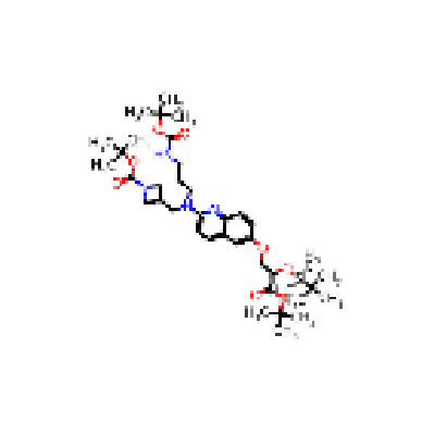 CC(C)(C)OC(=O)NCCCN(CC1CN(C(=O)OC(C)(C)C)C1)c1ccc2cc(OCC(O[Si](C)(C)C(C)(C)C)C(=O)OC(C)(C)C)ccc2n1